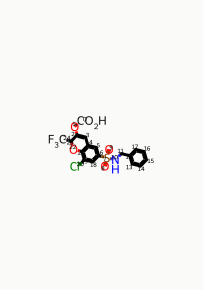 O=C(O)OC1=Cc2cc(S(=O)(=O)NCc3ccccc3)cc(Cl)c2OC1C(F)(F)F